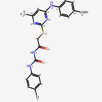 CCc1ccc(NC(=O)NC(=O)CSc2nc(Nc3ccc(OC)cc3)cc(C(F)(F)F)n2)cc1